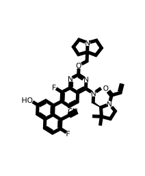 C#Cc1c(F)ccc2cc(O)cc(-c3c(C#N)cc4c(N(C)C[C@H]5N(C(=O)C=C)CCC5(C)C)nc(OCC56CCCN5CCC6)nc4c3F)c12